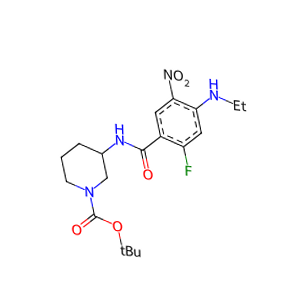 CCNc1cc(F)c(C(=O)NC2CCCN(C(=O)OC(C)(C)C)C2)cc1[N+](=O)[O-]